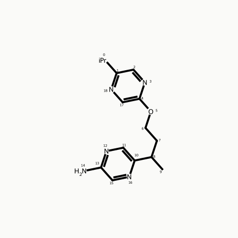 CC(C)c1cnc(OCCC(C)c2cnc(N)cn2)cn1